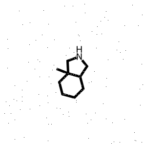 CC12CCCCC1CNC2